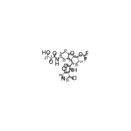 CC(O)C(=O)C(=O)Nc1ccc2oc3c(OC(F)F)ccc(C(=O)Nc4c(Cl)cncc4Cl)c3c2c1